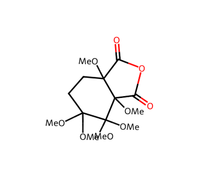 COC1(OC)CCC2(OC)C(=O)OC(=O)C2(OC)C1(OC)OC